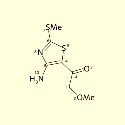 COCC(=O)c1sc(SC)nc1N